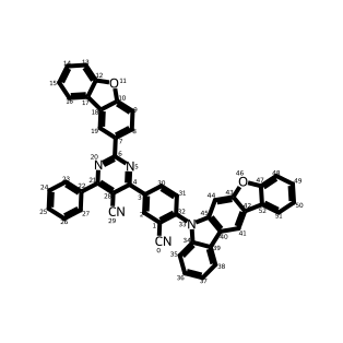 N#Cc1cc(-c2nc(-c3ccc4oc5ccccc5c4c3)nc(-c3ccccc3)c2C#N)ccc1-n1c2ccccc2c2cc3c(cc21)oc1ccccc13